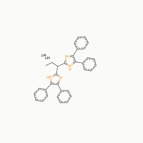 CCC(c1pc(-c2ccccc2)c(-c2ccccc2)[pH]1)c1pc(-c2ccccc2)c(-c2ccccc2)[pH]1.[LiH].[LiH]